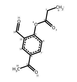 [CH2]CC(=O)Oc1ccc(C(C)=O)cc1C=O